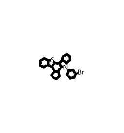 Brc1cccc(-n2c3ccccc3c3c4sc5ccccc5c4c4ccccc4c32)c1